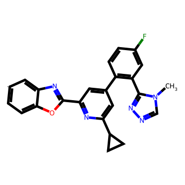 Cn1cnnc1-c1cc(F)ccc1-c1cc(-c2nc3c[c]ccc3o2)nc(C2CC2)c1